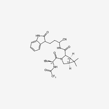 CC(C)(C)[C@H](NC(=O)C(F)(F)F)C(=O)N1C[C@H]2[C@@H](C1C(=O)NC(C#N)CCC1C(=O)Nc3ccccc31)C2(C)C